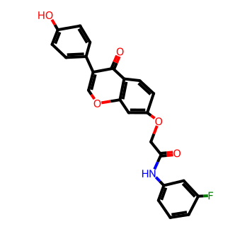 O=C(COc1ccc2c(=O)c(-c3ccc(O)cc3)coc2c1)Nc1cccc(F)c1